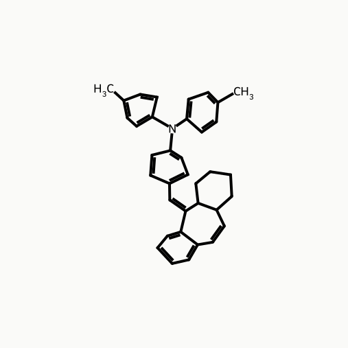 Cc1ccc(N(c2ccc(C)cc2)c2ccc(C=C3c4ccccc4C=CC4CCCCC34)cc2)cc1